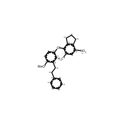 COc1ccc(Oc2c(C)cc([N+](=O)[O-])c3c2CCC3)cc1CCc1ccccc1